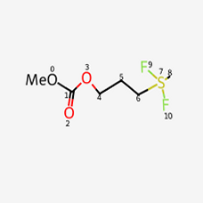 COC(=O)OCCCS(C)(F)F